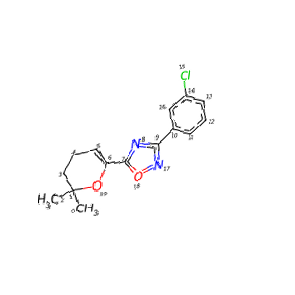 CC1(C)CCC=C(c2nc(-c3cccc(Cl)c3)no2)O1